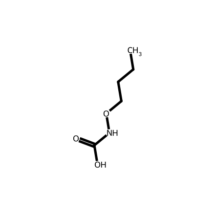 CCCCONC(=O)O